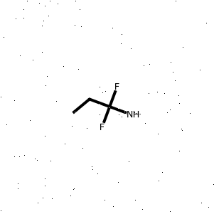 CCC([NH])(F)F